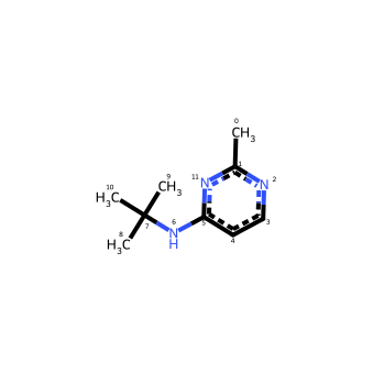 Cc1nccc(NC(C)(C)C)n1